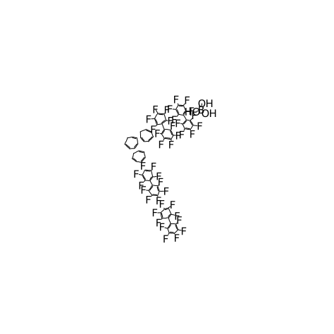 C1=CC=CCC=C1.C1=CC=CCC=C1.C1=CC=CCC=C1.Fc1c(F)c(F)c(-c2c(F)c(F)c(F)c(F)c2F)c(F)c1F.Fc1c(F)c(F)c(-c2c(F)c(F)c(F)c(F)c2F)c(F)c1F.Fc1c(F)c(F)c(-c2c(F)c(F)c(F)c(F)c2F)c(F)c1F.Fc1c(F)c(F)c(-c2c(F)c(F)c(F)c(F)c2F)c(F)c1F.OB(O)O